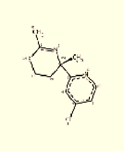 CC1=N[C@](C)(c2cc(Cl)ccn2)CCS1